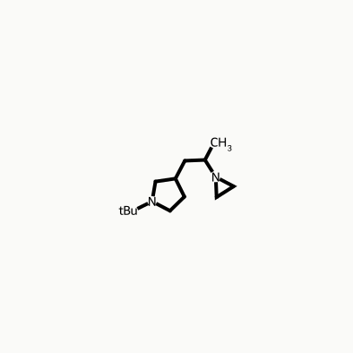 CC(CC1CCN(C(C)(C)C)C1)N1CC1